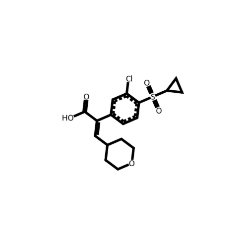 O=C(O)/C(=C/C1CCOCC1)c1ccc(S(=O)(=O)C2CC2)c(Cl)c1